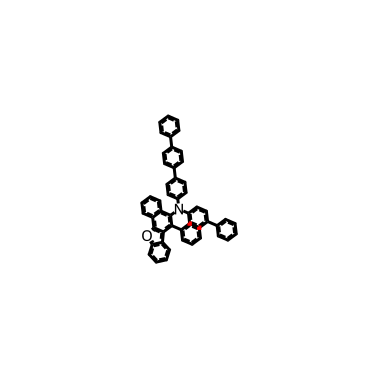 c1ccc(-c2ccc(-c3ccc(N(c4ccc(-c5ccccc5)cc4)c4c(-c5ccccc5)c5c6ccccc6oc5c5ccccc45)cc3)cc2)cc1